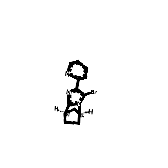 Brc1c(-c2ccccn2)nc2n1[C@H]1CC[C@@H]2C1